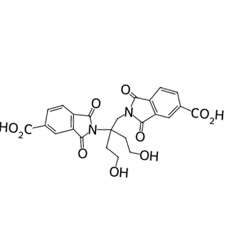 O=C(O)c1ccc2c(c1)C(=O)N(CC(CCO)(CCO)N1C(=O)c3ccc(C(=O)O)cc3C1=O)C2=O